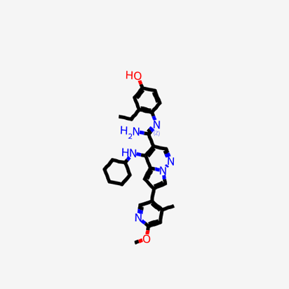 CCc1cc(O)ccc1/N=C(\N)c1cnn2cc(-c3cnc(OC)cc3C)cc2c1NC1CCCCC1